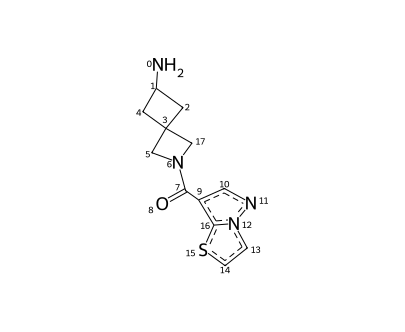 NC1CC2(C1)CN(C(=O)c1cnn3ccsc13)C2